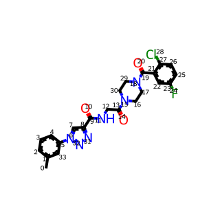 Cc1cccc(-n2cc(C(=O)NCC(=O)N3CCN(C(=O)c4cc(F)ccc4Cl)CC3)nn2)c1